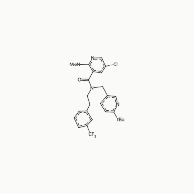 CNc1ncc(Cl)cc1C(=O)N(CCc1cccc(C(F)(F)F)c1)Cc1ccc(C(C)(C)C)nc1